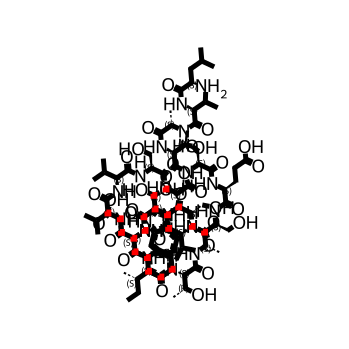 CC[C@H](C)[C@H](NC(=O)[C@H](CCC(=O)O)NC(=O)[C@@H](NC(=O)[C@@H](NC(=O)[C@H](CO)NC(=O)[C@H](CCC(=O)O)NC(=O)[C@H](CO)NC(=O)[C@@H](NC(=O)[C@H](C)NC(=O)[C@@H](NC(=O)[C@@H](N)CC(C)C)C(C)C)[C@@H](C)O)C(C)C)[C@@H](C)O)C(=O)N[C@H](C(=O)N[C@@H](C)C(=O)N[C@@H](CO)C(=O)N[C@@H](CO)C(=O)N[C@@H](Cc1ccccc1)C(=O)N[C@H](C(=O)N[C@H](C(=O)N[C@@H](CO)C(=O)N[C@@H](Cc1c[nH]c2ccccc12)C(=O)O)C(C)C)C(C)C)[C@@H](C)O